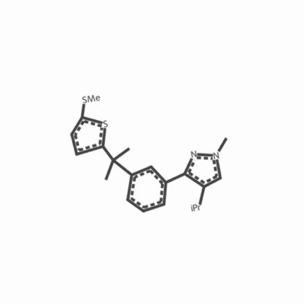 CSc1ccc(C(C)(C)c2cccc(-c3nn(C)cc3C(C)C)c2)s1